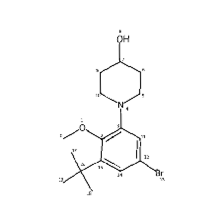 COc1c(N2CCC(O)CC2)cc(Br)cc1C(C)(C)C